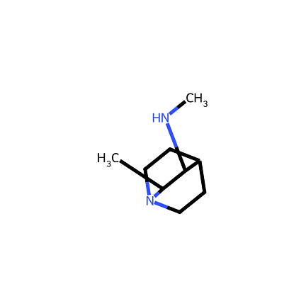 CNC1C2CCN(CC2)C1C